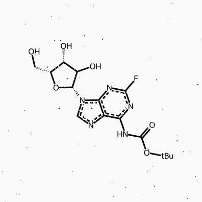 CC(C)(C)OC(=O)Nc1nc(F)nc2c1ncn2[C@@H]1O[C@H](CO)[C@H](O)C1O